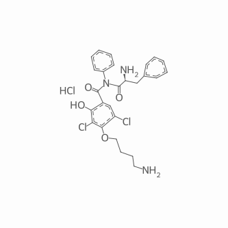 Cl.NCCCCOc1c(Cl)cc(C(=O)N(C(=O)[C@@H](N)Cc2ccccc2)c2ccccc2)c(O)c1Cl